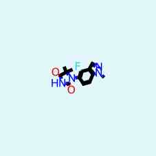 Cn1ncc2c(F)c(N3C(=O)NC(=O)C3(C)C)ccc21